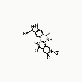 CC(Nc1nn(C)c(=O)c2cc(=O)n(C3CC3)cc12)c1ccc2c(C#N)nn(C)c2c1